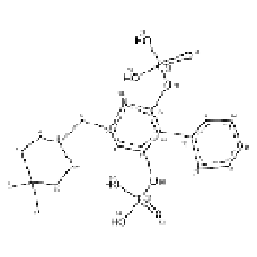 CC1(C)CCC(Cc2cc(OP(=O)(O)O)c(-c3ccccc3)c(OP(=O)(O)O)n2)CC1